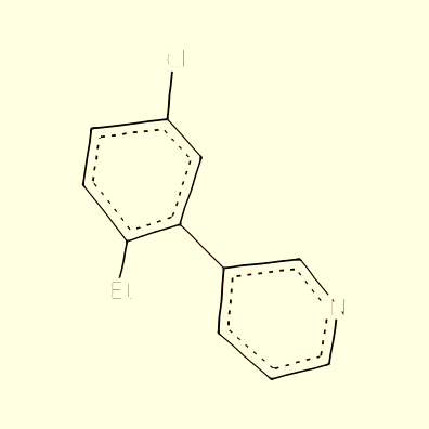 [CH2]Cc1ccc(Cl)cc1-c1cccnc1